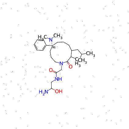 CC(C)CC1CCC[C@@](c2ccccc2)(N(C)C)CCCN(CC(=O)NCC(N)O)C(=O)C1C